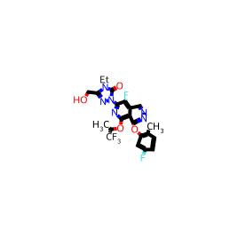 CCn1c(CO)nn(-c2nc(OC(C)C(F)(F)F)c3c(Oc4cc(F)ccc4C)nncc3c2F)c1=O